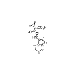 O=C(O)C1(C(=O)ONc2csc3c2CCCC3)CC1